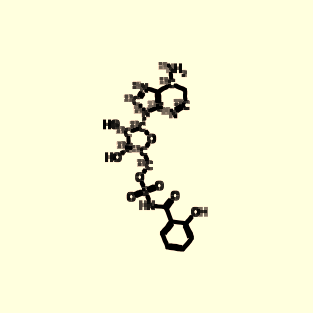 [15NH2][13CH]1C[13CH]=[15N][13c]2c1[15n][13cH][15n]2[13C@@H]1O[13CH]([13CH2]OS(=O)(=O)NC(=O)c2ccccc2O)[13C@@H](O)[13C@H]1O